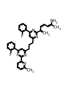 C=C(/C=C\C=C(\C)N)c1nc(CCCc2cc(-c3ccccc3F)nc(-c3cccc(C)n3)n2)cc(-c2ccccc2F)n1